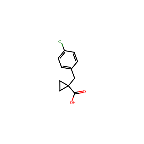 O=C(O)C1(Cc2ccc(Cl)cc2)CC1